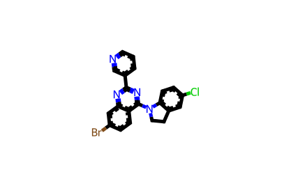 Clc1ccc2c(c1)CCN2c1nc(-c2cccnc2)nc2cc(Br)ccc12